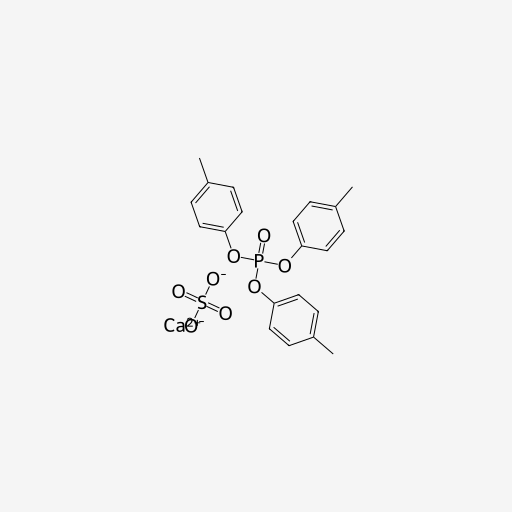 Cc1ccc(OP(=O)(Oc2ccc(C)cc2)Oc2ccc(C)cc2)cc1.O=S(=O)([O-])[O-].[Ca+2]